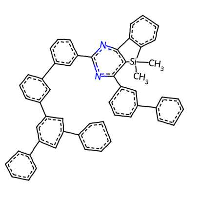 C[Si]1(C)c2ccccc2-c2nc(-c3cccc(-c4cccc(-c5cc(-c6ccccc6)cc(-c6ccccc6)c5)c4)c3)nc(-c3cccc(-c4ccccc4)c3)c21